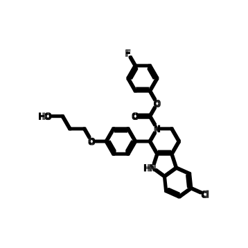 O=C(Oc1ccc(F)cc1)N1CCC2=C(NC3C=CC(Cl)=CC23)C1c1ccc(OCCCO)cc1